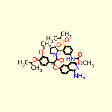 CCOc1cc([C@H](Oc2ccc3c(N)nccc3c2)C(=O)N2CCC[C@@H]2c2cc(NC(=O)OC)ccc2S(=O)(=O)C(C)C)ccc1OC(C)C